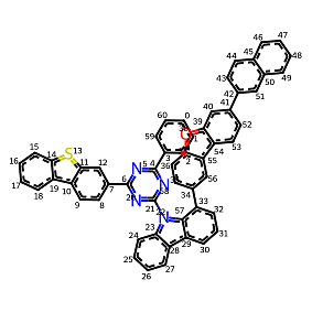 c1ccc(-c2nc(-c3ccc4c(c3)sc3ccccc34)nc(-n3c4ccccc4c4cccc(-c5ccc6oc7cc(-c8ccc9ccccc9c8)ccc7c6c5)c43)n2)cc1